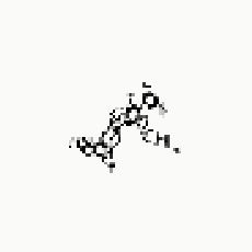 CCOc1cc(C(=O)N(C)Cc2cnc(CF)c3cn[nH]c23)cc(F)c1-c1cc(F)cc(F)c1